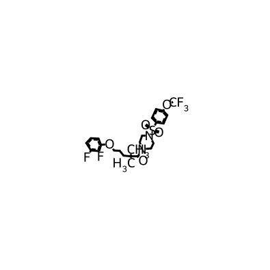 CC(C)(CCCOc1cccc(F)c1F)C(=O)N1CCN(S(=O)(=O)c2ccc(OC(F)(F)F)cc2)CC1